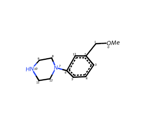 COCc1cccc(N2CCNCC2)c1